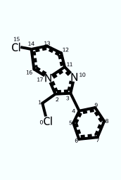 ClCc1c(-c2ccccc2)nc2ccc(Cl)cn12